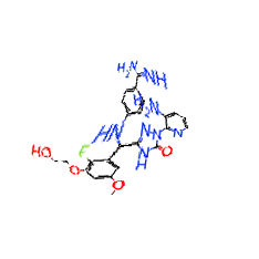 COc1cc(OCCO)c(F)c(C(Nc2ccc(C(=N)N)cc2)c2nn(-c3ncccc3N)c(=O)[nH]2)c1